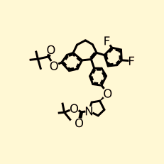 CC(C)(C)OC(=O)N1CC[C@H](Oc2ccc(C3=C(c4ccc(F)cc4F)CCCc4cc(OC(=O)C(C)(C)C)ccc43)cc2)C1